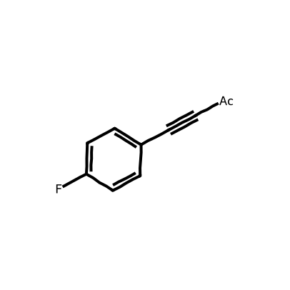 CC(=O)C#Cc1ccc(F)cc1